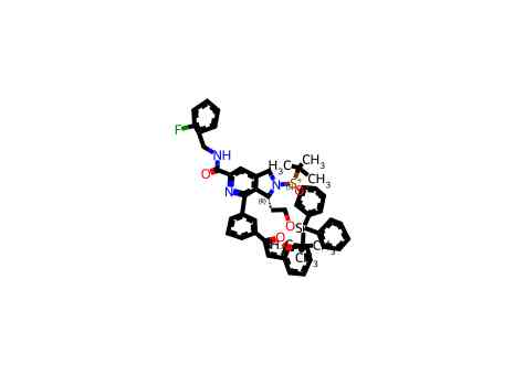 CC(C)(C)[S@@+]([O-])N1Cc2cc(C(=O)NCc3ccccc3F)nc(-c3cccc(-c4cc5ccccc5o4)c3)c2[C@H]1CCO[Si](c1ccccc1)(c1ccccc1)C(C)(C)C